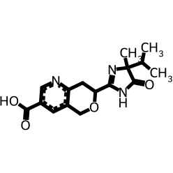 CC(C)C1(C)N=C(C2Cc3ncc(C(=O)O)cc3CO2)NC1=O